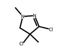 CN1CC(C)(Cl)C(Cl)=N1